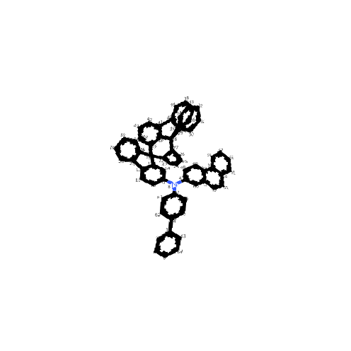 c1ccc(-c2ccc(N(c3ccc4c(c3)C3(c5ccccc5-4)c4ccccc4C4(c5ccccc5)c5ccccc5-c5cccc3c54)c3ccc4c(ccc5ccccc54)c3)cc2)cc1